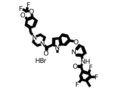 Br.Cc1c(F)cc(C(=O)Nc2ccc(Oc3ccc4cc(C(=O)N5CCN(Cc6ccc7c(c6)OC(F)(F)O7)CC5)n(C)c4c3)nc2)c(F)c1F